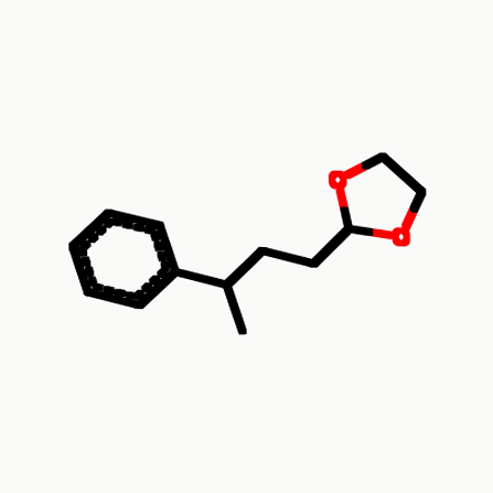 CC(CCC1OCCO1)c1ccccc1